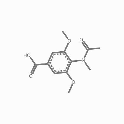 COc1cc(C(=O)O)cc(OC)c1N(C)C(C)=O